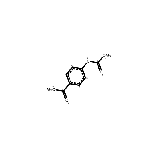 COC(=O)Oc1ccc(C(=O)OC)cc1